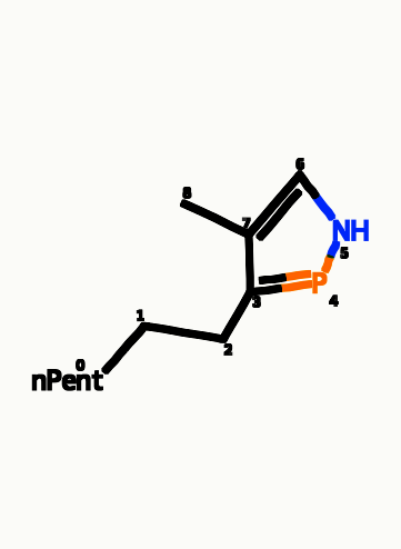 CCCCCCCc1p[nH]cc1C